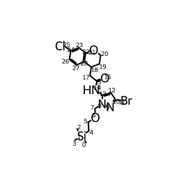 C[Si](C)(C)CCOCn1nc(Br)cc1NC(=O)CC1CCOc2cc(Cl)ccc21